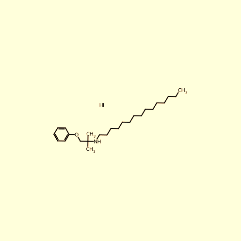 CCCCCCCCCCCCCCCNC(C)(C)COc1ccccc1.I